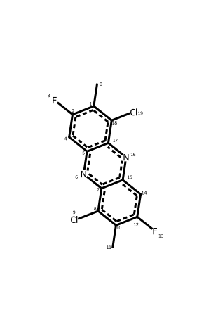 Cc1c(F)cc2nc3c(Cl)c(C)c(F)cc3nc2c1Cl